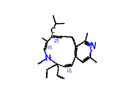 CCC1(CC)/C=C\c2cc(C)nc(C)c2C/C=C(CC(C)C)\C(C)=C/N1C